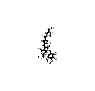 COc1cc(CN2C(=O)/C(=C\c3cc(C(=O)NC[C@H](O)CO)c[nH]3)c3c(Cl)nc(N)nc32)c(Cl)c(OC)c1OC